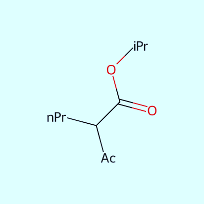 CCCC(C(C)=O)C(=O)OC(C)C